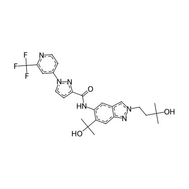 CC(C)(O)CCn1cc2cc(NC(=O)c3ccn(-c4ccnc(C(F)(F)F)c4)n3)c(C(C)(C)O)cc2n1